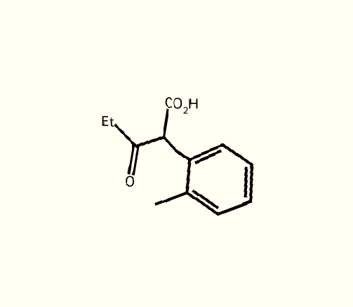 CCC(=O)C(C(=O)O)c1ccccc1C